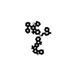 C=C(/C=C\C=C/CN(c1ccc2c(c1)C(C)(C)c1cc3c(cc1-2)C(C)(C)c1ccc2oc4ccccc4c2c1-3)c1ccc2c(c1)C(C)(C)c1cc(-c3ccccc3-c3ccccc3)c3oc4ccccc4c3c1-2)c1ccccc1